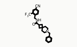 N#Cc1ccc(CNC(=O)C2CC3(CCN(Cc4ccccc4)CC3)C2)c(C(F)(F)F)c1